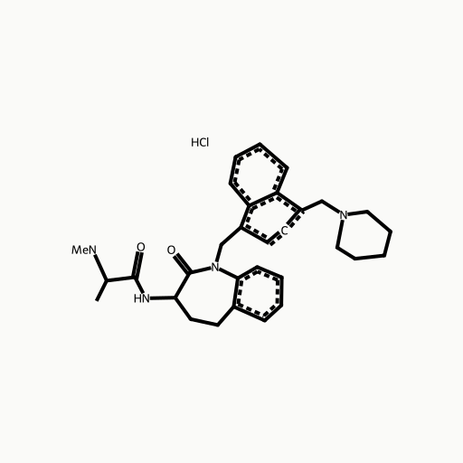 CNC(C)C(=O)NC1CCc2ccccc2N(Cc2ccc(CN3CCCCC3)c3ccccc23)C1=O.Cl